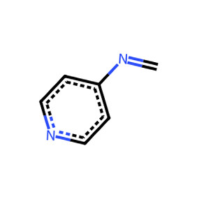 C=Nc1ccncc1